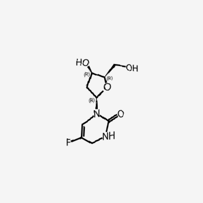 O=C1NCC(F)=CN1[C@H]1C[C@@H](O)[C@@H](CO)O1